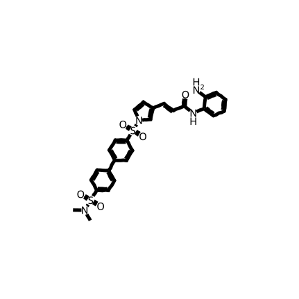 CN(C)S(=O)(=O)c1ccc(-c2ccc(S(=O)(=O)n3ccc(C=CC(=O)Nc4ccccc4N)c3)cc2)cc1